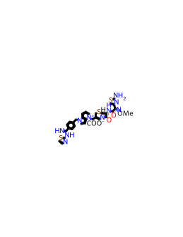 CO/N=C(\C(=O)N[C@@H]1C(=O)N2C(C(=O)[O-])=C(C[n+]3cccc4c3ccn4Cc3ccc(C(=N)Nc4nccs4)cc3)CS[C@H]12)c1csc(N)n1